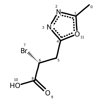 Cc1nnc(C[C@@H](Br)C(=O)O)o1